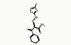 Cc1nsc(N/N=C(\C(N)=O)C(=O)C2=CCCC=C2)n1